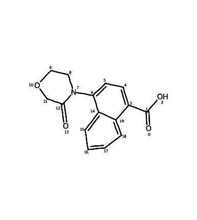 O=C(O)c1ccc(N2CCOCC2=O)c2ccccc12